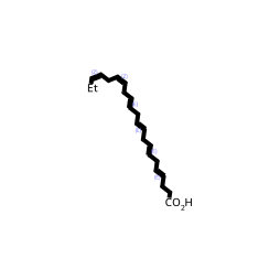 CC/C=C\C/C=C\C/C=C/C/C=C/C/C=C/C/C=C/CCC(=O)O